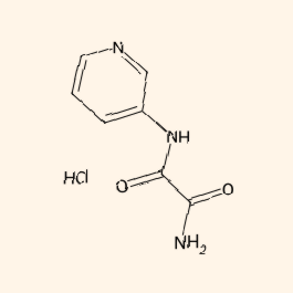 Cl.NC(=O)C(=O)Nc1cccnc1